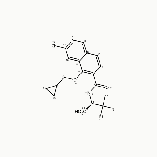 CCC(C)(C)[C@H](NC(=O)c1ccc2cnc(Cl)cc2c1OCC1CC1)C(=O)O